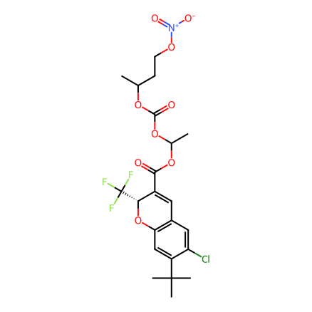 CC(CCO[N+](=O)[O-])OC(=O)OC(C)OC(=O)C1=Cc2cc(Cl)c(C(C)(C)C)cc2O[C@@H]1C(F)(F)F